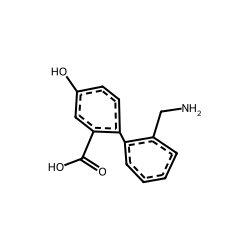 NCc1ccccc1-c1ccc(O)cc1C(=O)O